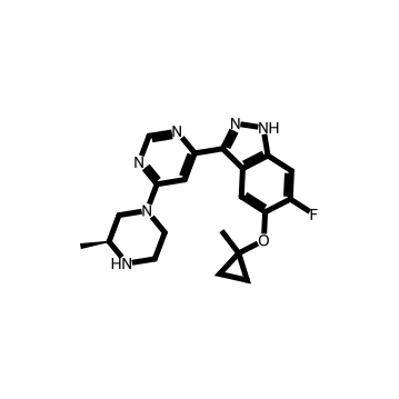 C[C@H]1CN(c2cc(-c3n[nH]c4cc(F)c(OC5(C)CC5)cc34)ncn2)CCN1